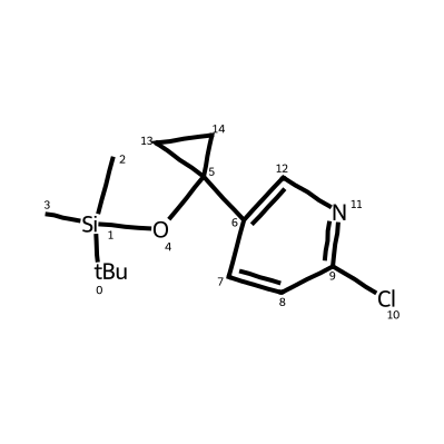 CC(C)(C)[Si](C)(C)OC1(c2ccc(Cl)nc2)CC1